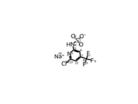 O=S(=O)([O-])Nc1cc(C(F)(F)F)cc(Cl)n1.[Na+]